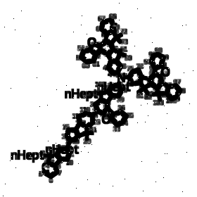 CCCCCCCC1(CCCCCCC)c2ccccc2-c2ccc(-c3ccc4c(c3)C(C)(C)c3cc(-c5cc6c(c7c5oc5ccccc57)-c5ccc(N(c7ccc8c(c7)C(C)(C)c7c9c(c%10oc%11ccccc%11c%10c7-8)-c7ccccc7C9(C)C)c7ccc8c(c7)C(C)(C)c7c9c(c%10oc%11ccccc%11c%10c7-8)-c7ccccc7C9(C)C)cc5C6(CCCCCCC)CCCCCCC)ccc3-4)cc21